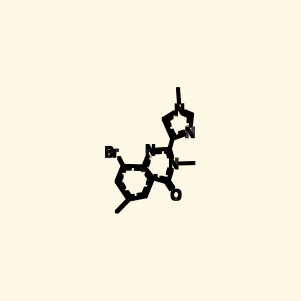 Cc1cc(Br)c2nc(-c3cn(C)cn3)n(C)c(=O)c2c1